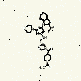 CC(=O)N1CCC(C(=O)N2CC[C@H](CNc3cc(-n4c(C(F)F)nc5ccccc54)nc(N4CCOCC4)n3)C2)CC1